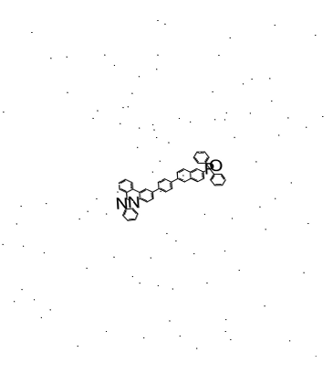 O=P(c1ccccc1)(c1ccccc1)c1ccc2cc(-c3ccc(-c4ccc5c(c4)c4ccccc4c4nc6ccccc6n54)cc3)ccc2c1